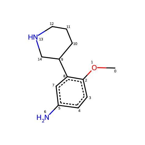 COc1ccc(N)cc1C1CCCNC1